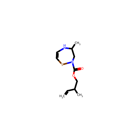 C=CC(C)COC(=O)N1CC(C)NC=CS1